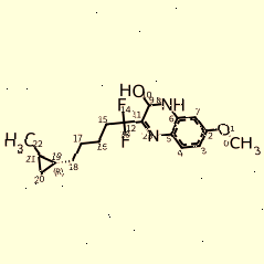 COc1ccc2c(c1)NC(O)C(C(F)(F)CCCC[C@@H]1CC1C)=N2